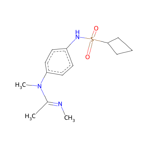 CN=C(C)N(C)c1ccc(NS(=O)(=O)C2CCC2)cc1